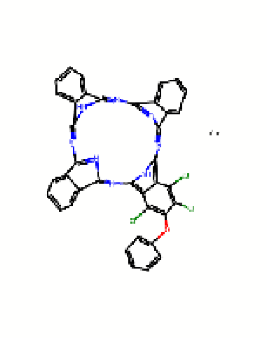 Clc1c(Oc2ccccc2)c(Cl)c2c3nc4nc(nc5[nH]c(nc6nc(nc([nH]3)c2c1Cl)-c1ccccc1-6)c1ccccc51)-c1ccccc1-4.[Cu]